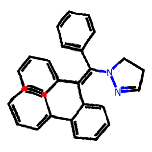 C1=NN(C(=C(c2ccccc2)c2ccccc2-c2ccccc2)c2ccccc2)CC1